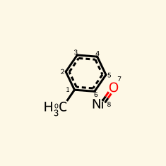 Cc1ccccc1.[O]=[Ni]